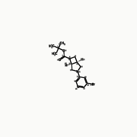 CC(C)(C)OC(=O)N1C[C@H]2CN(c3cncc(Br)c3)C[C@H]21